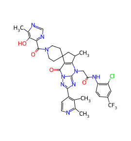 Cc1nccc(-c2nc3n(CC(=O)Nc4ccc(C(F)(F)F)cc4Cl)c4c(c(=O)n3n2)C2(CCN(C(=O)c3ncnc(C)c3O)CC2)CC4C)c1C